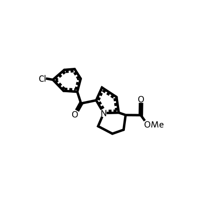 COC(=O)C1CCCn2c(C(=O)c3cccc(Cl)c3)ccc21